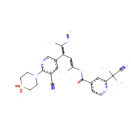 C=N/C(C)=C(\C=C(/C)NC(=O)c1ccnc(C(C)(C)C#N)c1)c1cnc(N2CCS(=O)(=O)CC2)c(C#N)c1